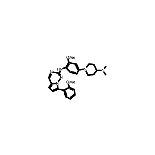 COc1cc(N2CCC(N(C)C)CC2)ccc1Nc1ncc2ccc(-c3ccccc3OC)n2n1